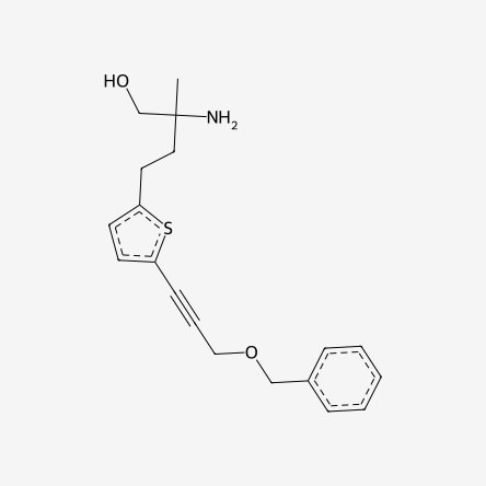 CC(N)(CO)CCc1ccc(C#CCOCc2ccccc2)s1